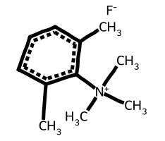 Cc1cccc(C)c1[N+](C)(C)C.[F-]